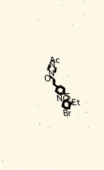 CCc1cc(Br)ccc1Sc1ccc(/C=C/C(=O)N2CCN(C(C)=O)CC2)cc1[N+](=O)[O-]